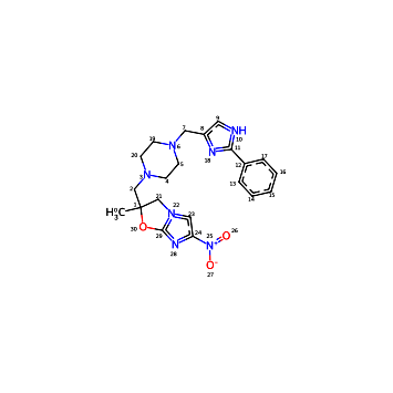 CC1(CN2CCN(Cc3c[nH]c(-c4ccccc4)n3)CC2)Cn2cc([N+](=O)[O-])nc2O1